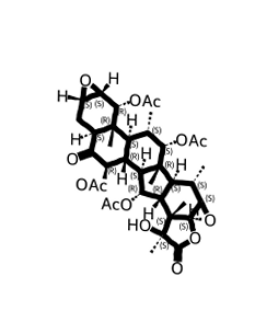 CC(=O)O[C@@H]1[C@H]2[C@H]3[C@H]([C@H](C)[C@H](OC(C)=O)[C@]2(C)[C@H]2[C@H](C)[C@@H]4O[C@@]45OC(=O)[C@@](C)(O)[C@]5(C)[C@H]12)[C@]1(C)[C@H](C[C@@H]2O[C@@H]2[C@@H]1OC(C)=O)C(=O)[C@@H]3OC(C)=O